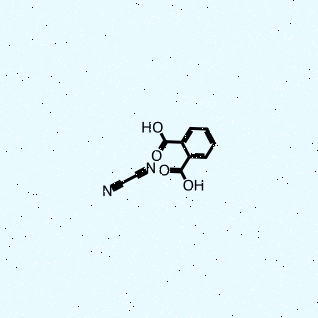 N#CC#N.O=C(O)c1ccccc1C(=O)O